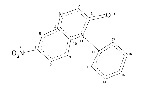 O=c1cnc2cc([N+](=O)[O-])ccc2n1-c1ccccc1